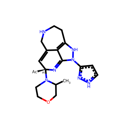 CC(=O)[C@@]1(N2CCOCC2C)C=C2CNCCC3=C2C(=N1)N(c1cc[nH]n1)N3